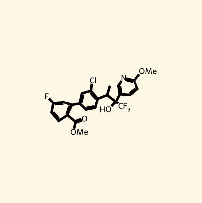 COC(=O)c1ccc(F)cc1-c1ccc(C(C)C(O)(c2ccc(OC)nc2)C(F)(F)F)c(Cl)c1